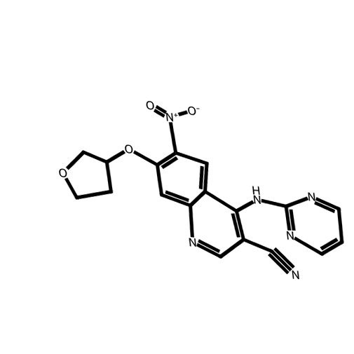 N#Cc1cnc2cc(OC3CCOC3)c([N+](=O)[O-])cc2c1Nc1ncccn1